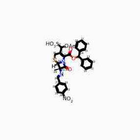 CC(=O)OC(C1=C(C(=O)OC(c2ccccc2)c2ccccc2)N2C(=O)[C@](C)(N=Cc3ccc([N+](=O)[O-])cc3)[C@H]2SC1)S(=O)(=O)O